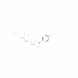 CCCCCCCCCCc1ccc(-c2noc(CNC(=O)C(CC(C)C)NC(=O)O)n2)cc1